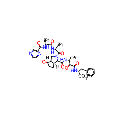 CCCC(NC(=O)C1[C@H]2CCC(=O)[C@H]2CN1C(=O)C(NC(=O)[C@H](NC(=O)c1cnccn1)C(C)C)C(C)C)C(=O)C(=O)N[C@@H](Cc1ccccc1)C(=O)O